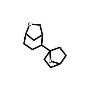 C1OC2CCC(C34CCC(CC3)O4)[C]1C2